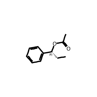 CC[C@@H](OC(C)=O)c1ccccc1